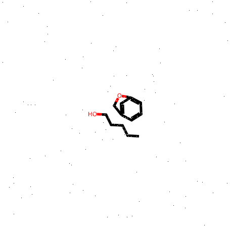 CCCCCO.c1cc2cc(c1)OC2